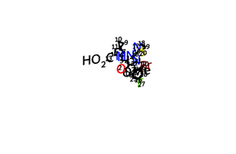 COC(=O)C1=C(CN2CC3(CC3)C[C@H]2C(=O)O)NC(c2nccs2)=N[C@H]1c1ccc(F)cc1Br